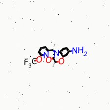 C[C@H]1Oc2cc(N)ccc2N([C@@H](C)c2cccc(OC(F)(F)F)n2)C1=O